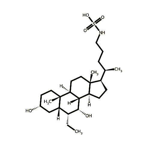 CC[C@H]1[C@@H](O)[C@@H]2[C@H](CC[C@]3(C)[C@@H]([C@H](C)CCCNS(=O)(=O)O)CC[C@@H]23)[C@@]2(C)CC[C@@H](O)C[C@@H]12